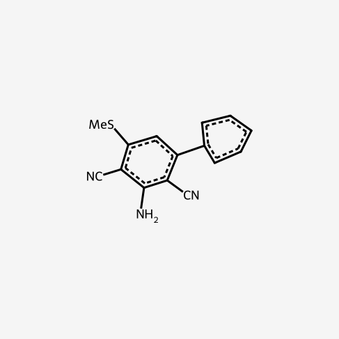 CSc1cc(-c2ccccc2)c(C#N)c(N)c1C#N